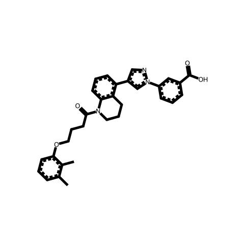 Cc1cccc(OCCCC(=O)N2CCCc3c(-c4cnn(-c5cccc(C(=O)O)c5)c4)cccc32)c1C